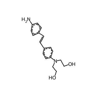 Nc1ccc(/C=C/c2ccc(N(CCO)CCO)cc2)cc1